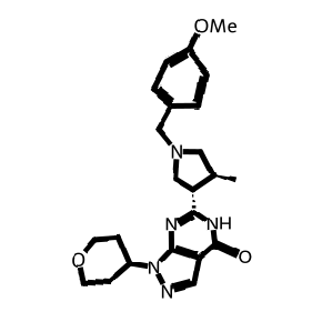 COc1ccc(CN2C[C@@H](C)[C@H](c3nc4c(cnn4C4CCOCC4)c(=O)[nH]3)C2)cc1